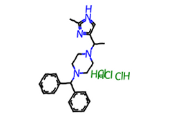 Cc1nc(C(C)N2CCN(C(c3ccccc3)c3ccccc3)CC2)c[nH]1.Cl.Cl.Cl